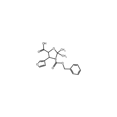 CC1(C)OC(C(=O)O)C(c2ccoc2)N1C(=O)OCc1ccccc1